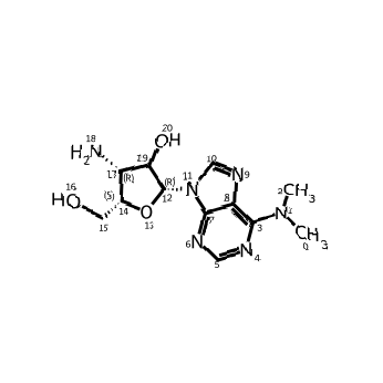 CN(C)c1ncnc2c1ncn2[C@@H]1O[C@H](CO)[C@H](N)C1O